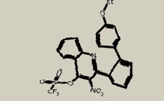 CCOc1ccc(-c2ccccc2-c2nc3ccccc3c(OS(=O)(=O)C(F)(F)F)c2[N+](=O)[O-])cc1